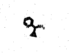 NC(c1ccccn1)C1CC1